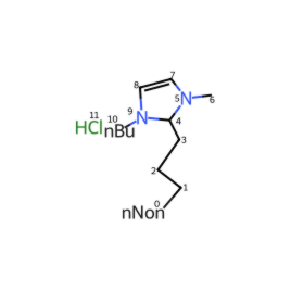 CCCCCCCCCCCCC1N(C)C=CN1CCCC.Cl